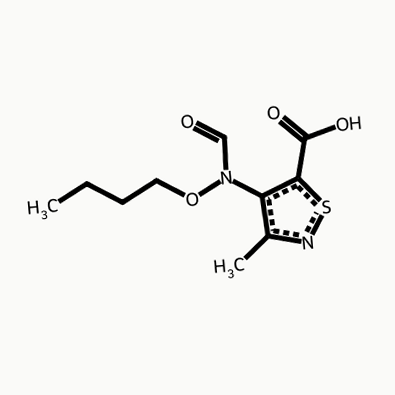 CCCCON(C=O)c1c(C)nsc1C(=O)O